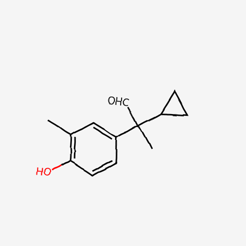 Cc1cc(C(C)(C=O)C2CC2)ccc1O